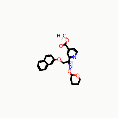 COC(=O)c1ccnc(/C(COc2ccc3ccccc3c2)=N/OC2CCCCO2)c1